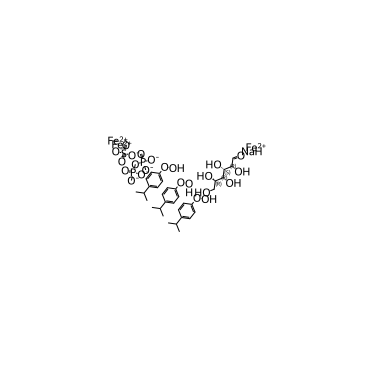 CC(C)c1ccc(OO)cc1.CC(C)c1ccc(OO)cc1.CC(C)c1ccc(OO)cc1.O=C[C@H](O)[C@@H](O)[C@H](O)[C@H](O)CO.O=P([O-])([O-])OP(=O)([O-])[O-].O=S(=O)([O-])[O-].[Fe+2].[Fe+2].[Fe+2].[NaH]